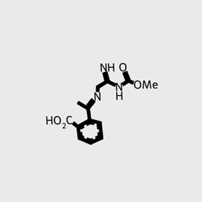 COC(=O)NC(=N)C/N=C(\C)c1ccccc1C(=O)O